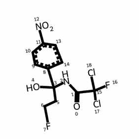 O=C(NC(O)(CCF)c1ccc([N+](=O)[O-])cc1)C(F)(Cl)Cl